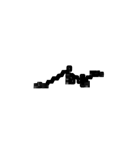 CCCCCCCCCCCCCCCCCC(=O)OCC(O)COP(=O)(O)OCCNC